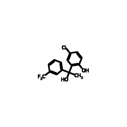 CC(O)(c1cccc(C(F)(F)F)c1)c1cc(Cl)ccc1O